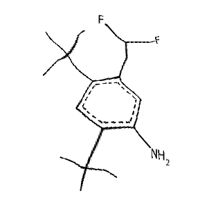 CC(C)(C)c1cc(C(C)(C)C)c(C(F)F)cc1N